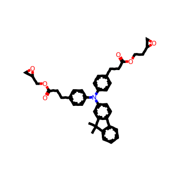 CC1(C)c2ccccc2-c2ccc(N(c3ccc(CCC(=O)OCCC4CO4)cc3)c3ccc(CCC(=O)OCC4CO4)cc3)cc21